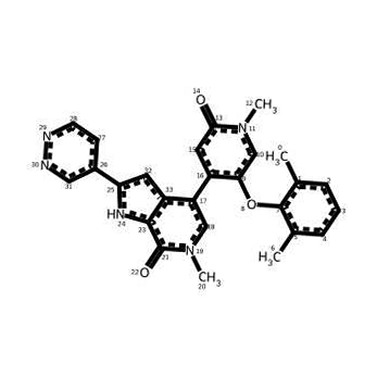 Cc1cccc(C)c1Oc1cn(C)c(=O)cc1-c1cn(C)c(=O)c2[nH]c(-c3ccnnc3)cc12